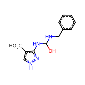 O=C(O)c1c[nH]nc1NC(O)NCc1ccccc1